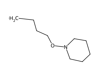 [CH2]CCCON1CCCCC1